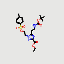 CCOC(=O)c1nc(CCNC(=O)OC(C)(C)C)n(CCOS(=O)(=O)c2ccc(C)cc2)n1